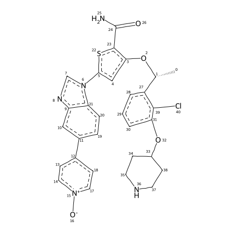 C[C@@H](Oc1cc(-n2cnc3cc(-c4cc[n+]([O-])cc4)ccc32)sc1C(N)=O)c1cccc(OC2CCNCC2)c1Cl